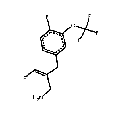 NCC(=CF)Cc1ccc(F)c(OC(F)(F)F)c1